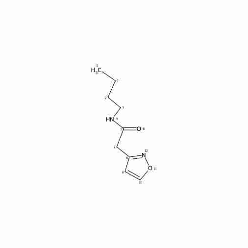 CCCCNC(=O)Cc1ccon1